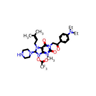 CCN(CC)c1ccc(C(=O)Cn2c(=O)c3c(n(C)c2=O)N(OC(=O)C(F)(F)F)C(N2CCNCC2)N3CC=C(C)C)cc1